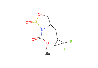 CC(C)(C)OC(=O)N1C(CC2CC2(F)F)COS1=O